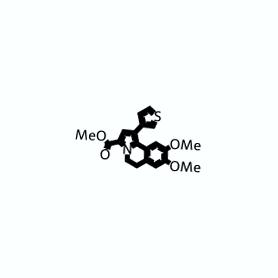 COC(=O)c1cc(-c2ccsc2)c2n1CCc1cc(OC)c(OC)cc1-2